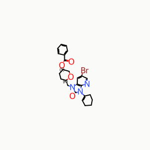 O=C(O[C@H]1CC[C@H](Cn2c(=O)n(C3=CCCCC3)c3ncc(Br)cc32)OC1)c1ccccc1